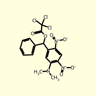 CN(C)c1cc(C(OC(=O)C(Cl)(Cl)Cl)c2ccccc2)c([N+](=O)[O-])cc1[N+](=O)[O-]